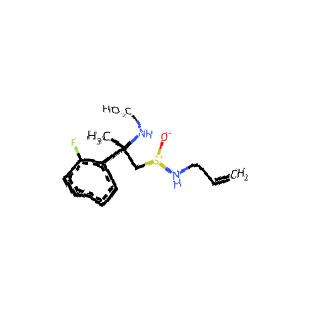 C=CCN[S+]([O-])CC(C)(NC(=O)O)c1ccccc1F